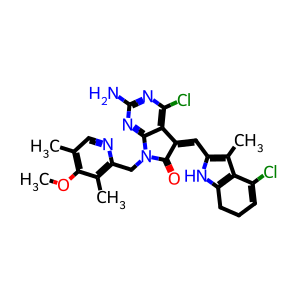 COc1c(C)cnc(CN2C(=O)/C(=C\c3[nH]c4c(c3C)C(Cl)=CCC4)c3c(Cl)nc(N)nc32)c1C